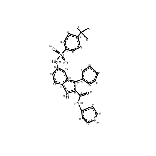 CC(C)(C)c1ccc(S(=O)(=O)Nc2ccc3[nH]c(C(=O)Nc4ccncc4)c(-c4ccccc4)c3c2)cc1